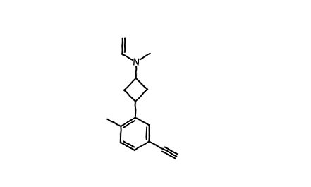 C#Cc1ccc(C)c(C2CC(N(C)C=C)C2)c1